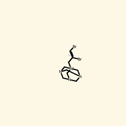 Br/C=C(\Br)C[N+]12CN3CN(CN(C3)C1)C2